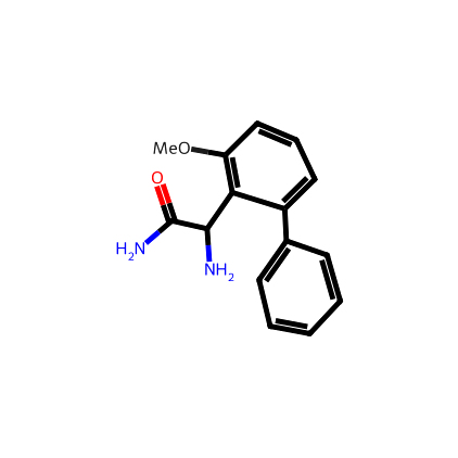 COc1cccc(-c2ccccc2)c1C(N)C(N)=O